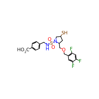 O=C(O)c1ccc(CNS(=O)(=O)N2CC(S)CC2COCc2cc(F)c(F)cc2F)cc1